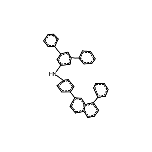 c1ccc(-c2cc(Nc3ccc(-c4ccc5cccc(-c6ccccc6)c5c4)cc3)cc(-c3ccccc3)c2)cc1